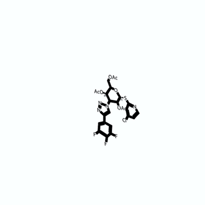 CC(=O)OCC1O[C@H](Sc2cc(Cl)ccn2)C(OC(C)=O)C(n2cc(-c3cc(F)c(F)c(F)c3)nn2)[C@H]1OC(C)=O